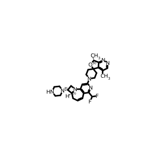 Cc1cnnc2c1C1(CCN(c3cc4c(c(C(F)F)n3)C=CC[C@H]3[C@H](N5CCNCC5)CN43)CC1)O[C@@H]2C